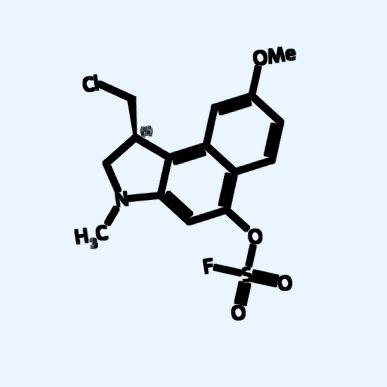 COc1ccc2c(OS(=O)(=O)F)cc3c(c2c1)[C@H](CCl)CN3C